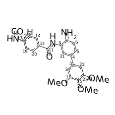 COc1cc(-c2ccc(N)c(NC(=O)c3ccc(NC(=O)O)cc3)c2)cc(OC)c1OC